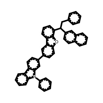 c1ccc(CC(c2ccc3ccccc3c2)c2cccc3c2oc2ccc(-c4ccc5c6ccccc6n(-c6ccccc6)c5c4)cc23)cc1